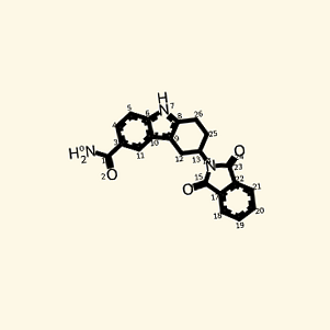 NC(=O)c1ccc2[nH]c3c(c2c1)CC(N1C(=O)c2ccccc2C1=O)CC3